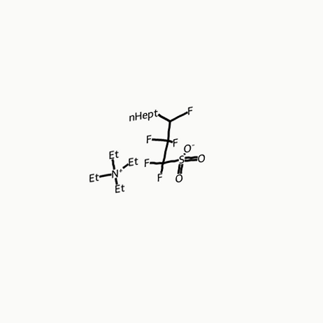 CCCCCCCC(F)C(F)(F)C(F)(F)S(=O)(=O)[O-].CC[N+](CC)(CC)CC